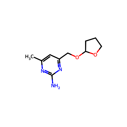 Cc1cc(COC2CCCO2)nc(N)n1